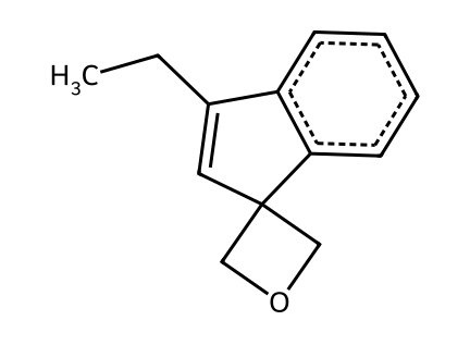 CCC1=CC2(COC2)c2ccccc21